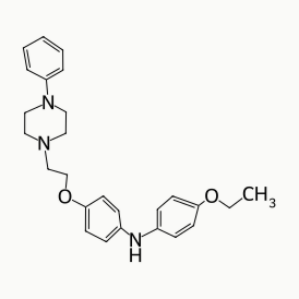 CCOc1ccc(Nc2ccc(OCCN3CCN(c4ccccc4)CC3)cc2)cc1